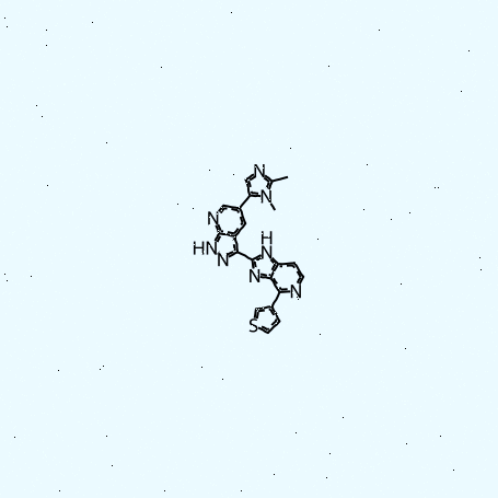 Cc1ncc(-c2cnc3[nH]nc(-c4nc5c(-c6ccsc6)nccc5[nH]4)c3c2)n1C